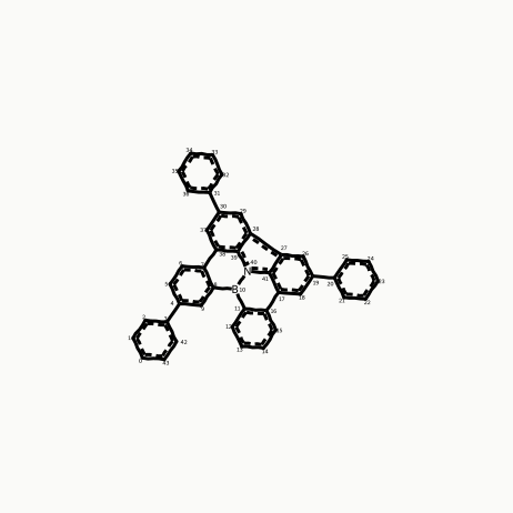 c1ccc(-c2ccc3c(c2)B2c4ccccc4-c4cc(-c5ccccc5)cc5c6cc(-c7ccccc7)cc-3c6n2c45)cc1